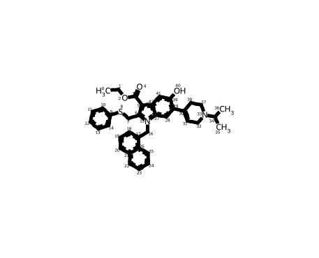 CCOC(=O)c1c(CSc2ccccc2)n(Cc2cccc3ccccc23)c2cc(C3=CCN(C(C)C)CC3)c(O)cc12